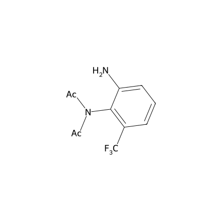 CC(=O)N(C(C)=O)c1c(N)cccc1C(F)(F)F